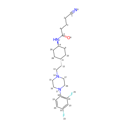 N#CCCCC(=O)N[C@H]1CC[C@H](CCN2CCN(c3ccc(F)cc3F)CC2)CC1